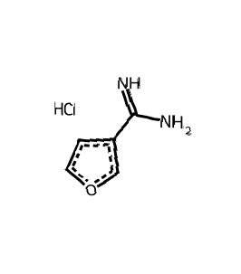 Cl.N=C(N)c1ccoc1